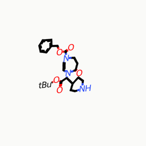 CC(C)(C)OC(=O)C(C1CCNCC1)N1C=CN(C(=O)OCc2ccccc2)CCC1=O